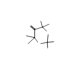 O=C1C(F)(F)OC(F)(F)OC1(F)F